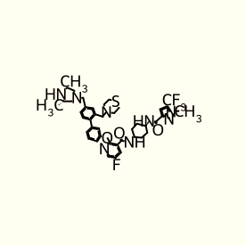 CC1CN(Cc2ccc(-c3cccc(Oc4ncc(F)cc4C(=O)N[C@H]4CC[C@H](NC(=O)c5cc(C(F)(F)F)n(C)n5)CC4)c3)c(CN3CCSCC3)c2)C[C@H](C)N1